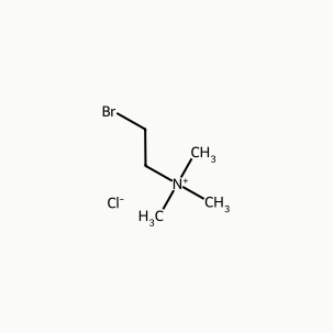 C[N+](C)(C)CCBr.[Cl-]